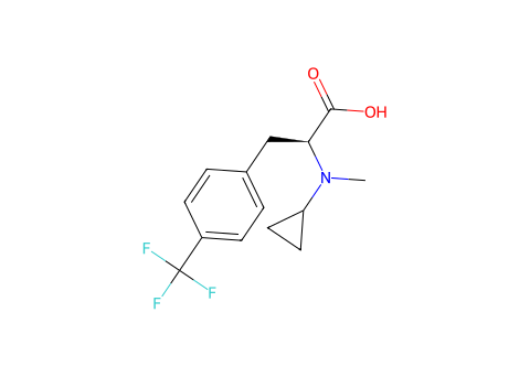 CN(C1CC1)[C@@H](Cc1ccc(C(F)(F)F)cc1)C(=O)O